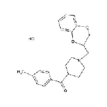 Cc1ccc(C(=O)C2CCN(CC3COc4ccccc4O3)CC2)cc1.Cl